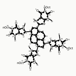 CCCCCCCCn1c(=O)c2c(nc(-c3cc(-c4nc5c(c(=O)n(CCCCCCCC)c(=O)n5C)n4C)c4ccc5c(-c6nc7c(c(=O)n(CCCCCCCC)c(=O)n7C)n6C)cc(-c6nc7c(c(=O)n(CCCCCCCC)c(=O)n7C)n6C)c6ccc3c4c65)n2C)n(C)c1=O